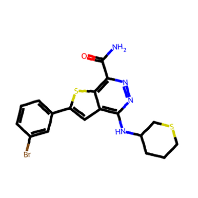 NC(=O)c1nnc(NC2CCCSC2)c2cc(-c3cccc(Br)c3)sc12